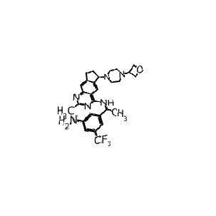 Cc1nc(NC(C)c2cc(N)cc(C(F)(F)F)c2)c2cc3c(cc2n1)CCC3N1CCN(C2COC2)CC1